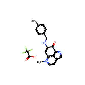 COc1ccc(CNC2=Cc3c4c([nH]cc4cc[n+]3C)C2=O)cc1.O=C([O-])C(F)(F)F